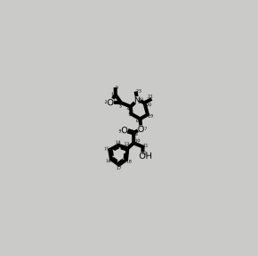 CC1OC1C1CC(OC(=O)C(CO)c2ccccc2)CC(C)N1C